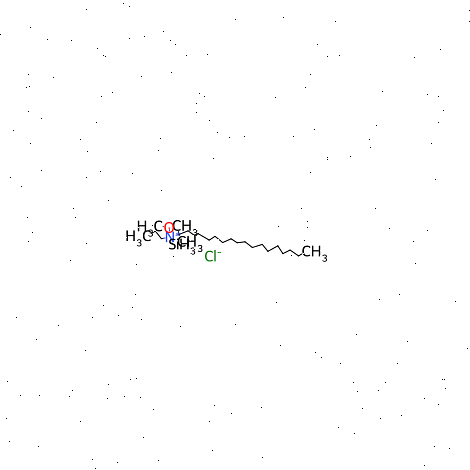 CCCCCCCCCCCCCCCCCC(C)(C)[N+]([SiH3])(CCC)OC.[Cl-]